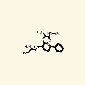 CC(Oc1nc(-c2ccccc2)ccc1NCC(N)CS)C(=O)NC(C)(C)C